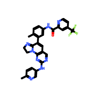 Cc1ccc(Nc2ncc3c(n2)N2CCN=C2C(c2cc(NC(=O)c4cc(C(F)(F)F)ccn4)ccc2C)=C3)cn1